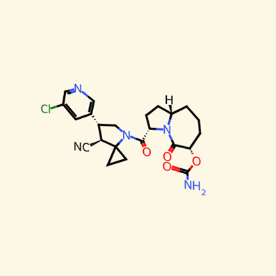 N#C[C@H]1[C@H](c2cncc(Cl)c2)CN(C(=O)[C@@H]2CC[C@@H]3CCC[C@H](OC(N)=O)C(=O)N32)C12CC2